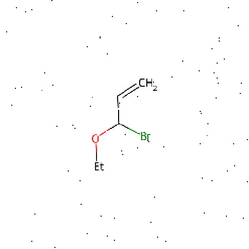 C=CC(Br)OCC